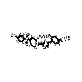 COc1ccc(-c2csc(N3CCC(S(=O)(=O)c4ccc(Br)cc4)CC3)n2)c(OC)c1